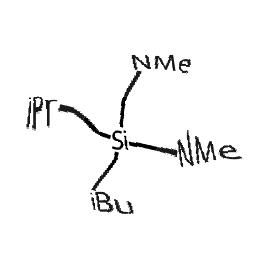 CCC(C)[Si](NC)(NC)C(C)C